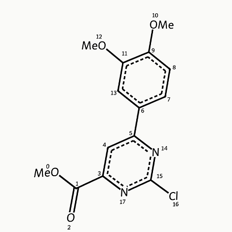 COC(=O)c1cc(-c2ccc(OC)c(OC)c2)nc(Cl)n1